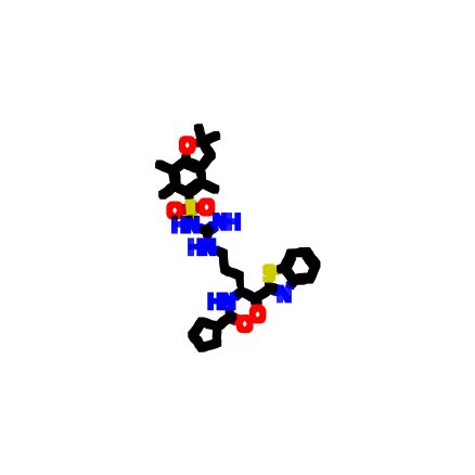 Cc1c(C)c(S(=O)(=O)NC(=N)NCCC[C@H](NC(=O)C2CCCC2)C(=O)c2nc3ccccc3s2)c(C)c2c1OC(C)(C)C2